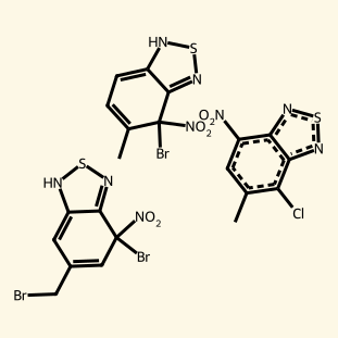 CC1=CC=C2NSN=C2C1(Br)[N+](=O)[O-].Cc1cc([N+](=O)[O-])c2nsnc2c1Cl.O=[N+]([O-])C1(Br)C=C(CBr)C=C2NSN=C21